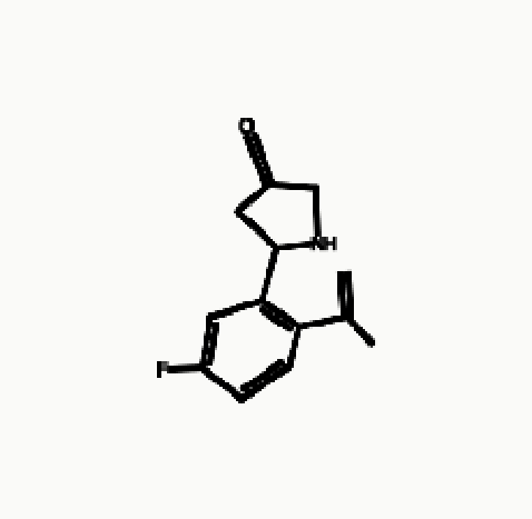 C=C(C)c1ccc(F)cc1C1CC(=O)CN1